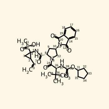 C=CC1CC1(NC(=O)[C@@H]1C[C@@H](N2C(=O)c3ccccc3C2=O)CN1C(=O)[C@@H](NC(=O)OC1CCCC1)C(C)(C)C)P(C)(=O)O